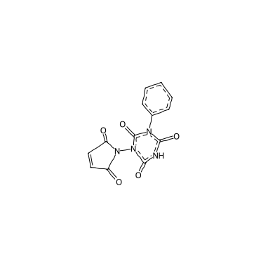 O=C1C=CC(=O)N1n1c(=O)[nH]c(=O)n(-c2ccccc2)c1=O